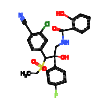 CCS(=O)(=O)C(c1ccc(C#N)c(Cl)c1)C(O)(CNC(=O)c1ccccc1O)c1ccc(F)cc1